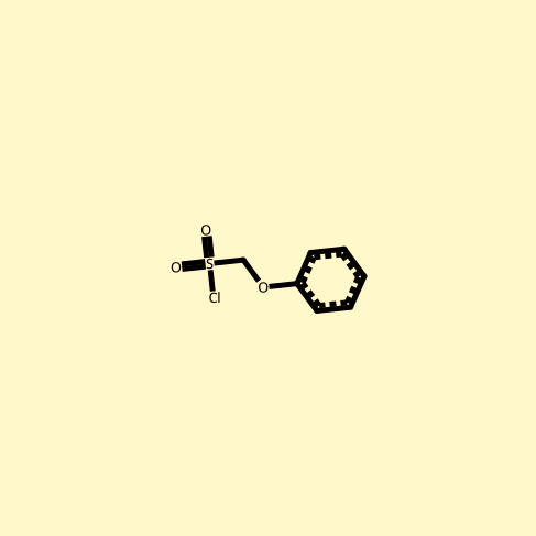 O=S(=O)(Cl)COc1ccccc1